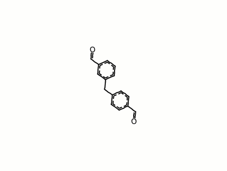 O=Cc1ccc(Cc2cccc(C=O)c2)cc1